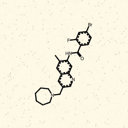 Cc1cc2cc(CN3CCCCCC3)cnc2cc1NC(=O)c1ccc(Br)cc1F